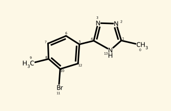 Cc1nnc(-c2ccc(C)c(Br)c2)[nH]1